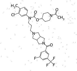 CC(=O)N1CCC(OC(=O)N(CCCN2CC3CN(C(=O)c4cc(F)cc(C(F)(F)F)c4)CC3C2)c2ccc(C)c(Cl)c2)CC1